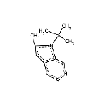 Cc1cc2ccncc2n1C(C)(C)C